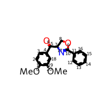 COc1ccc(C(=O)C2COC(c3ccccc3)=N2)cc1OC